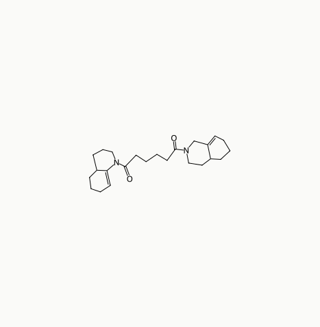 O=C(CCCCC(=O)N1CCCC2CCCC=C21)N1CCC2CCCC=C2C1